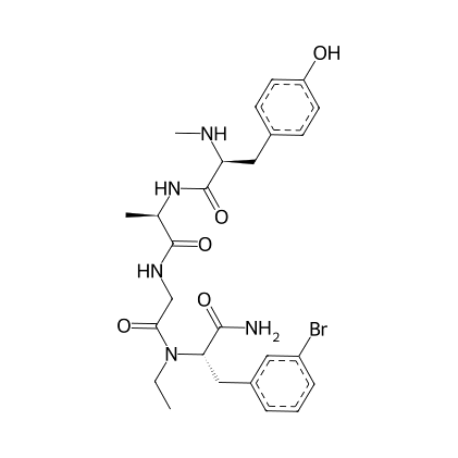 CCN(C(=O)CNC(=O)[C@@H](C)NC(=O)[C@H](Cc1ccc(O)cc1)NC)[C@@H](Cc1cccc(Br)c1)C(N)=O